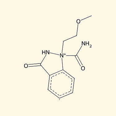 COCC[N+]1(C(N)=O)NC(=O)c2c[c]ccc21